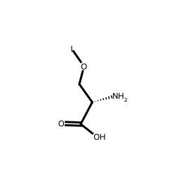 N[C@@H](COI)C(=O)O